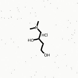 CN(C)CC(O)CCO.Cl